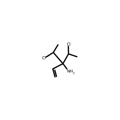 C=CC(N)(C(C)Cl)C(C)Cl